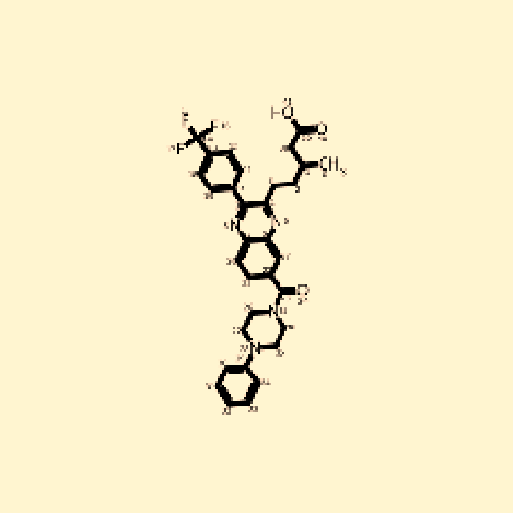 CC(CCc1nc2c(nc1-c1ccc(C(F)(F)F)cc1)=CCC(C(=O)N1CCN(c3ccccc3)CC1)C=2)CC(=O)O